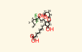 CC[C@H](C)CC(F)(F)C(O)CC[C@@H]1[C@@H](CCCCCCC(=O)O)[C@H](O)C[C@H]1OC1CCCCO1